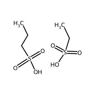 CCCS(=O)(=O)O.CCS(=O)(=O)O